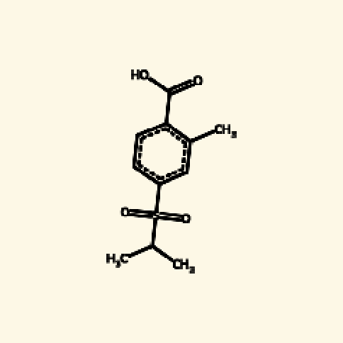 Cc1cc(S(=O)(=O)C(C)C)ccc1C(=O)O